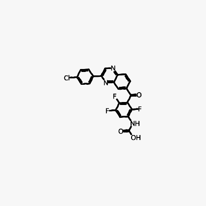 O=C(O)Nc1cc(F)c(F)c(C(=O)c2ccc3ncc(-c4ccc(Cl)cc4)nc3c2)c1F